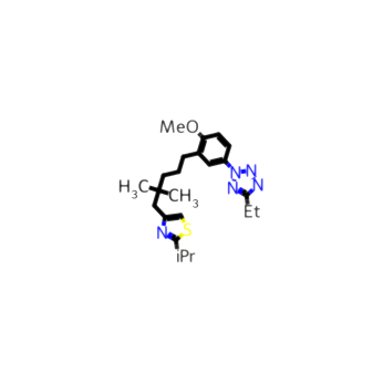 CCc1nnn(-c2ccc(OC)c(CCCC(C)(C)Cc3csc(C(C)C)n3)c2)n1